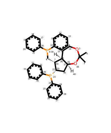 CC1(C)OCC[C@@H]2[C@@H](CP(c3ccccc3)c3ccccc3)[C@@H](P(c3ccccc3)c3ccccc3)C[C@@H]2O1